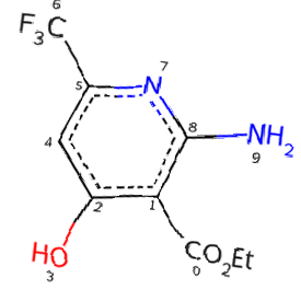 CCOC(=O)c1c(O)cc(C(F)(F)F)nc1N